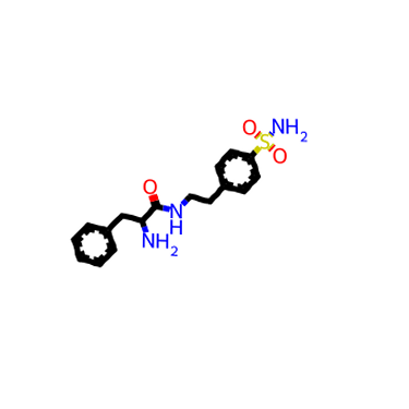 NC(Cc1ccccc1)C(=O)NCCc1ccc(S(N)(=O)=O)cc1